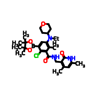 CCN(c1cc(B2OC(C)(C)C(C)(C)O2)c(Cl)c(C(=O)NCc2c(C)cc(C)[nH]c2=O)c1C)C1CCOCC1